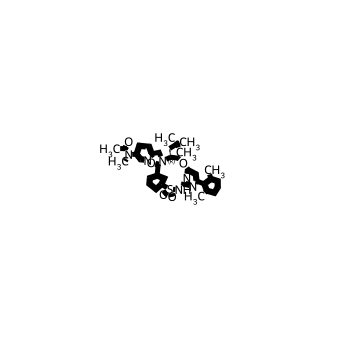 CC(=O)N(C)c1ccc(CN2C(=O)c3cccc(c3)S(=O)(=O)Nc3nc(cc(-c4c(C)cccc4C)n3)OC[C@H]2CC(C)(C)C)nc1